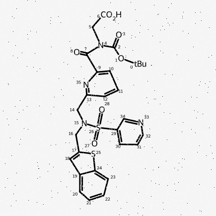 CC(C)(C)OC(=O)N(CC(=O)O)C(=O)c1cccc(CN(Cc2cc3ccccc3s2)S(=O)(=O)c2cccnc2)n1